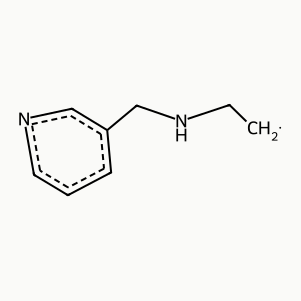 [CH2]CNCc1cccnc1